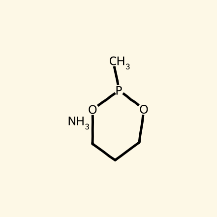 CP1OCCCO1.N